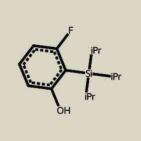 CC(C)[Si](c1c(O)cccc1F)(C(C)C)C(C)C